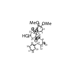 COc1ccc(C2(CCCN(C)C(C)Cc3ccccc3)S(=O)(=O)CCCS2(=O)=O)cc1OC.Cl